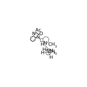 CC(=O)c1nc2ccccc2n([C@@H]2C[C@@H]3C2CCC[C@H](C)N3CC[C@@H]2CC[C@H]3C[C@@H]2C3(C)C)c1=O